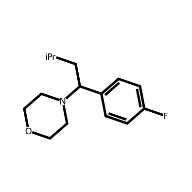 CC(C)CC(c1ccc(F)cc1)N1CCOCC1